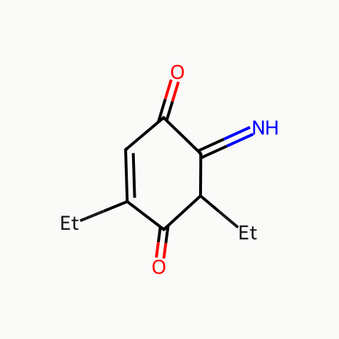 CCC1=CC(=O)C(=N)C(CC)C1=O